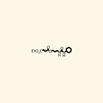 CCOC(=O)/C=C/C(=O)OCCCNC(=O)NC1CCCCC1